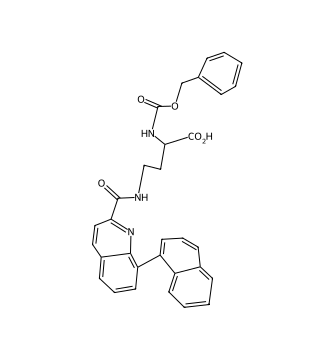 O=C(NC(CCNC(=O)c1ccc2cccc(-c3cccc4ccccc34)c2n1)C(=O)O)OCc1ccccc1